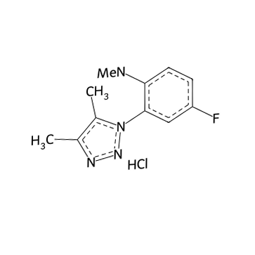 CNc1ccc(F)cc1-n1nnc(C)c1C.Cl